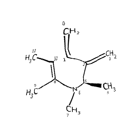 C=CC(=C)[C@@H](C)N(C)/C(C)=C/C